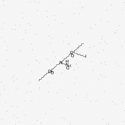 CCCCCCCCCOC(=O)CCCCCCCN(CCCCCCCC(=O)OC(CCCCCCCC)CCCCCCCI)CCCNC(=O)C(C)C